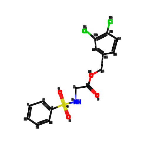 O=C(CNS(=O)(=O)c1ccccc1)OCc1ccc(Cl)c(Cl)c1